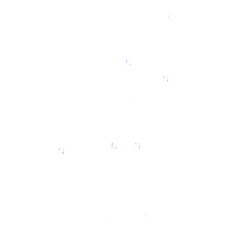 N#Cc1cccc(Oc2ncc(Cl)cn2)c1-n1cc(C(F)F)cn1